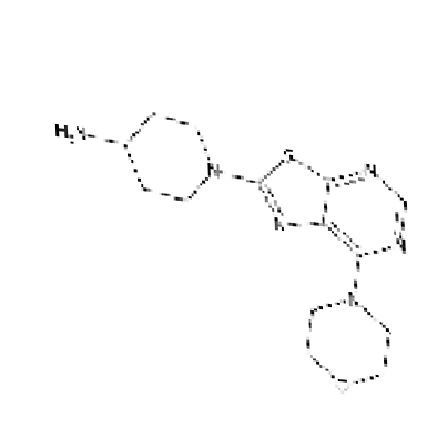 NC1CCN(c2nc3c(N4CCOCC4)ncnc3s2)CC1